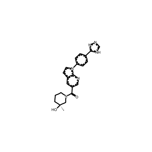 C[C@]1(O)CCCN(C(=O)c2cnc3c(ccn3-c3ccc(-c4nnc[nH]4)cc3)c2)C1